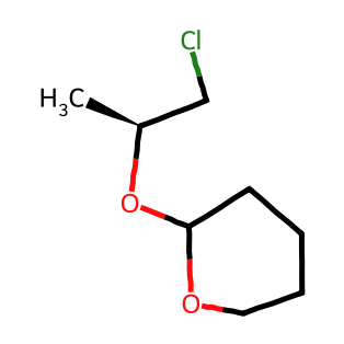 C[C@@H](CCl)OC1CCCCO1